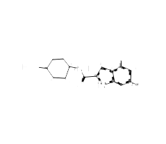 CC1CCC(NC(=O)c2cc3c(F)cc(Cl)cc3[nH]2)CC1